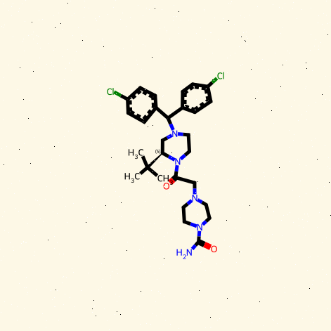 CC(C)(C)[C@H]1CN(C(c2ccc(Cl)cc2)c2ccc(Cl)cc2)CCN1C(=O)CN1CCN(C(N)=O)CC1